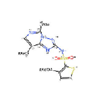 COc1ccsc1S(=O)(=O)Nc1nc2c(OC)cnc(OC)n2n1